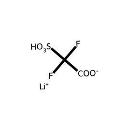 O=C([O-])C(F)(F)S(=O)(=O)O.[Li+]